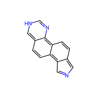 c1nc2c(ccc3c4cncc4ccc32)c[nH]1